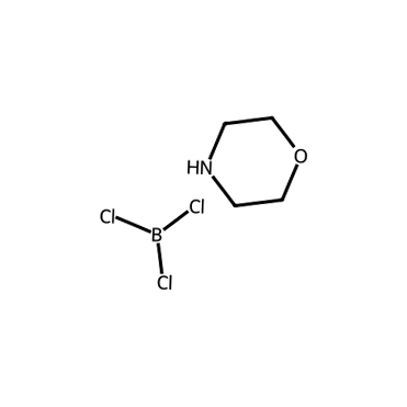 C1COCCN1.ClB(Cl)Cl